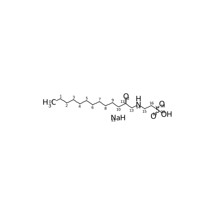 CCCCCCCCCCCC(=O)CNCCS(=O)(=O)O.[NaH]